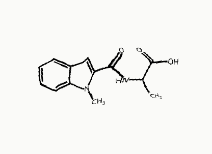 CC(NC(=O)c1cc2ccccc2n1C)C(=O)O